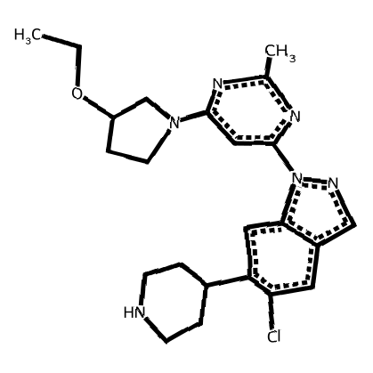 CCOC1CCN(c2cc(-n3ncc4cc(Cl)c(C5CCNCC5)cc43)nc(C)n2)C1